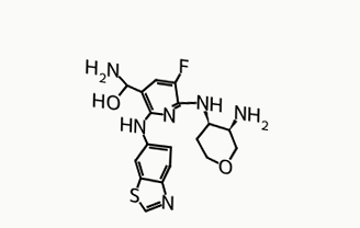 NC(O)c1cc(F)c(N[C@@H]2CCOC[C@@H]2N)nc1Nc1ccc2ncsc2c1